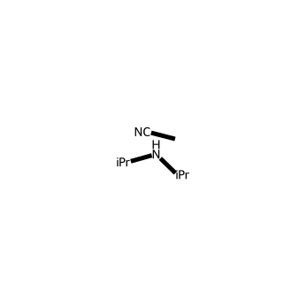 CC#N.CC(C)NC(C)C